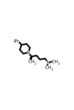 C=C(CCCN(C)C)N1CCC(C(C)C)CC1